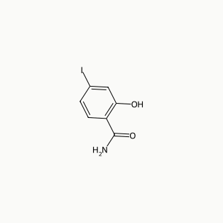 NC(=O)c1ccc(I)cc1O